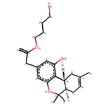 C=C(Cc1cc(O)c2c(c1)OC(C)(C)[C@@H]1CC=C(C)C[C@@H]21)OCCCCBr